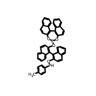 Cc1ccc(POc2ccc3ccccc3c2-c2c(Op3oc4ccc5ccccc5c4c4c(ccc5ccccc54)o3)ccc3ccccc23)cc1